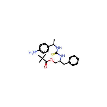 C[C@@H](NC(=S)N[C@H](COC(=O)C(C)(C)C)Cc1ccccc1)c1ccc(N)cc1